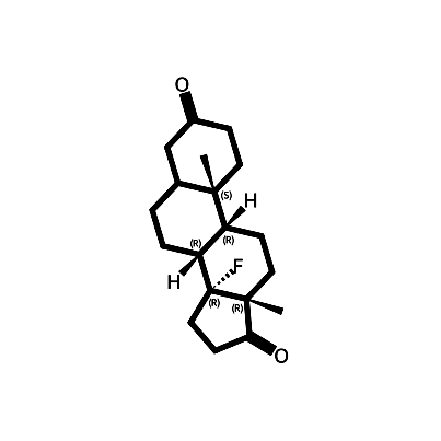 C[C@]12CCC(=O)CC1CC[C@@H]1[C@H]2CC[C@]2(C)C(=O)CC[C@@]12F